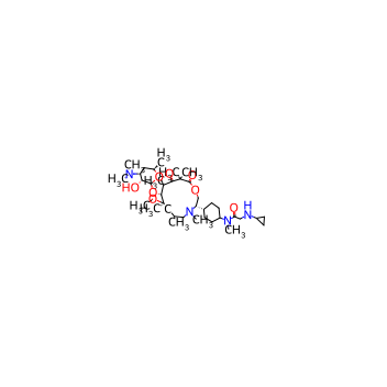 CO[C@]1(C)C[C@@H](C)CN(C)[C@@H](C2CCC(N(C)C(=O)CNC3CC3)CC2)COC(=O)C(C)(C)C(=O)[C@H](C)[C@H]1O[C@@H]1O[C@H](C)C[C@H](N(C)C)[C@H]1O